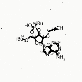 C#CCOC1C(OP(=O)(O)C(C)CC)C(COC(C)CC)OC1n1cnc2c(N)ncnc21